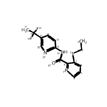 CCSc1cccnc1C(=O)Nc1ccc(C(C)(F)F)cn1